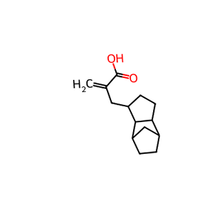 C=C(CC1CCC2C3CCC(C3)C12)C(=O)O